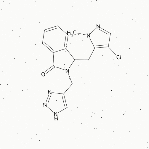 Cn1ncc(Cl)c1CC1c2ccccc2C(=O)N1Cc1c[nH]nn1